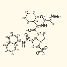 CNC(C)C(=O)NC(C(=O)N1CCC2C1C(C(=O)Nc1cccc3ccccc13)CN2S(C)(=O)=O)C1CCCCC1